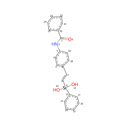 O=C(Nc1ccc(C=C[Si](O)(O)c2ccccc2)cc1)c1ccccc1